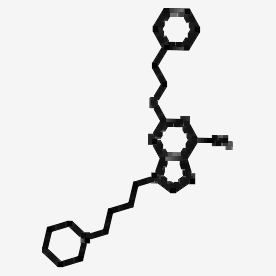 Nc1nc(SCCc2ccccc2)nc2c1ncn2CCCCN1CCCCC1